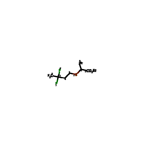 CCOC(=O)C(SCCC(F)(F)C(F)(F)F)C(C)C